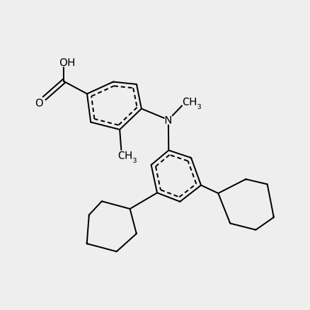 Cc1cc(C(=O)O)ccc1N(C)c1cc(C2CCCCC2)cc(C2CCCCC2)c1